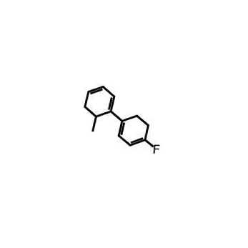 CC1CC=CC=C1C1=CC=C(F)CC1